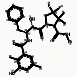 CCNC(=O)C1N(C(=O)[C@@H](O)[C@H](Cc2ccccc2)NC(=O)c2cc(C)cc(O)c2C)CC(F)(F)C1(C)C